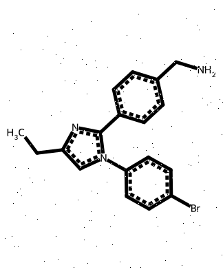 CCc1cn(-c2ccc(Br)cc2)c(-c2ccc(CN)cc2)n1